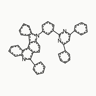 c1ccc(-c2cc(-c3ccccc3)nc(-c3cccc(-n4c5ccccc5c5c6c(ccc54)c(-c4ccccc4)nc4ccccc46)c3)n2)cc1